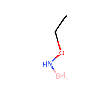 BNOCC